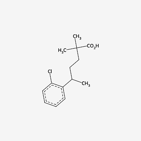 CC(CCC(C)(C)C(=O)O)c1ccccc1Cl